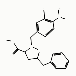 COC(=O)C1CC(Cc2ccccc2)ON1Cc1ccc(B(O)O)c(F)c1